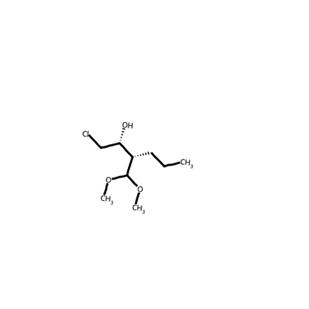 CCC[C@H](C(OC)OC)[C@@H](O)CCl